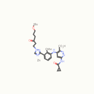 COc1c(Nc2cc(NC(=O)C3CC3)nnc2C(=O)O)cccc1-c1ncn(CCC(=O)CCCOC(C)(C)C)n1.[Zn]